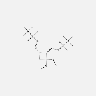 CSC1(SC)C[C@H](CO[Si](C)(C)C(C)(C)C)[C@H]1CO[Si](C)(C)C(C)(C)C